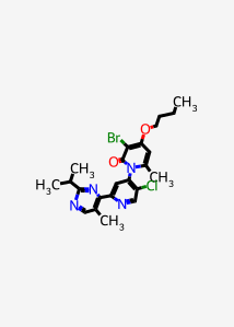 CCCCOc1cc(C)n(-c2cc(-c3nc(C(C)C)ncc3C)ncc2Cl)c(=O)c1Br